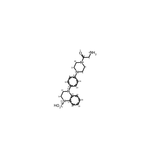 NCC(=O)N1CCN(c2ccc(N3CCN(C(=O)O)c4ccccc43)cc2)CC1